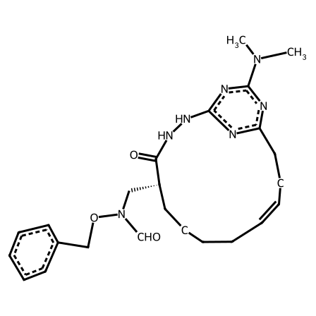 CN(C)c1nc2nc(n1)NNC(=O)[C@@H](CN(C=O)OCc1ccccc1)CCCCC=CCC2